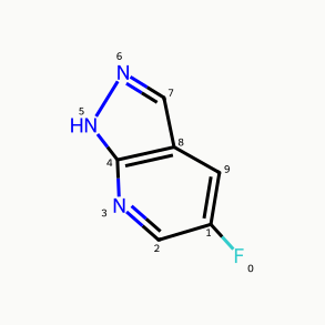 Fc1cnc2[nH]ncc2c1